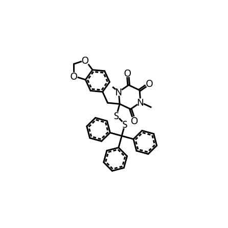 CN1C(=O)C(=O)N(C)C(Cc2ccc3c(c2)OCO3)(SSC(c2ccccc2)(c2ccccc2)c2ccccc2)C1=O